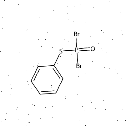 O=P(Br)(Br)Sc1ccccc1